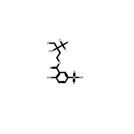 O=C(OCCC(O)(CF)C(F)(F)F)c1cc(S(=O)(=O)O)ccc1O